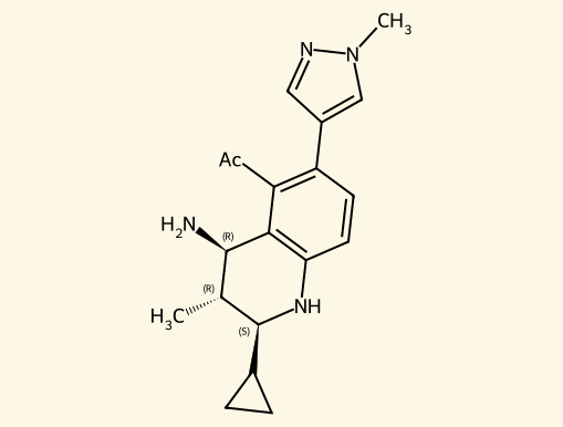 CC(=O)c1c(-c2cnn(C)c2)ccc2c1[C@H](N)[C@@H](C)[C@H](C1CC1)N2